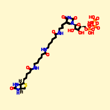 O=C(CCCCCNC(=O)CCCCCNC(=O)CCCC[C@H]1SC[C@H]2NC(=O)N[C@H]21)NC/C=C/c1cn([C@@H]2O[C@H](COP(=O)(O)OP(=O)(O)OP(=O)(O)O)C(O)[C@@H]2O)c(=O)[nH]c1=O